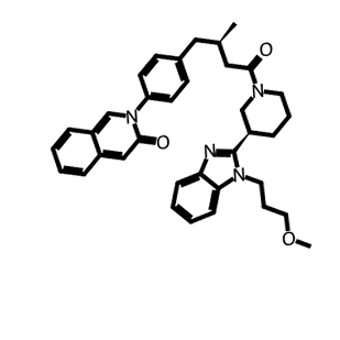 COCCCn1c([C@@H]2CCCN(C(=O)C[C@H](C)Cc3ccc(-n4cc5ccccc5cc4=O)cc3)C2)nc2ccccc21